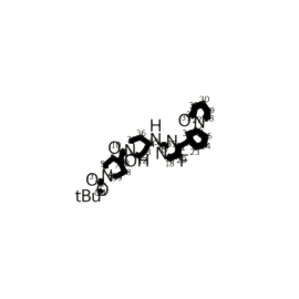 CC(C)(C)OC(=O)N1CCC(O)(C(=O)N2CCC(Nc3ncc(F)c(-c4cccc(-n5ccccc5=O)c4)n3)CC2)CC1